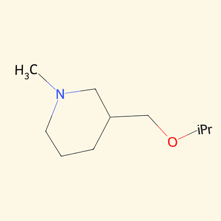 CC(C)OCC1CCCN(C)C1